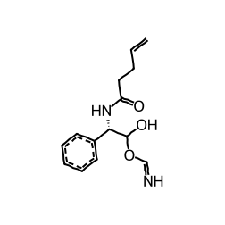 C=CCCC(=O)N[C@@H](c1ccccc1)C(O)OC=N